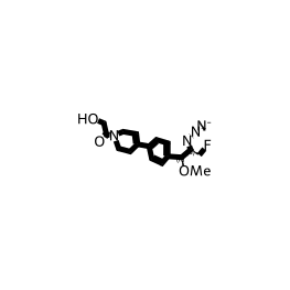 CO[C@H](c1ccc(C2=CCN(C(=O)CO)CC2)cc1)[C@@H](CF)N=[N+]=[N-]